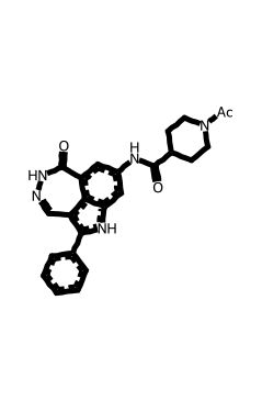 CC(=O)N1CCC(C(=O)Nc2cc3c4c(c(-c5ccccc5)[nH]c4c2)C=NNC3=O)CC1